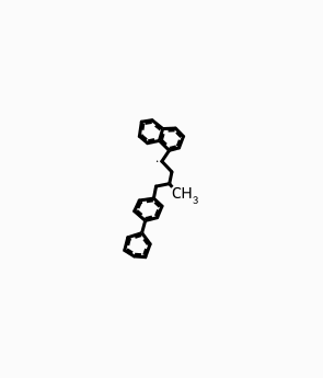 CC(C[CH]c1cccc2ccccc12)Cc1ccc(-c2ccccc2)cc1